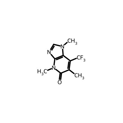 Cc1c(C(F)(F)F)c2c(ncn2C)n(C)c1=O